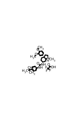 COc1ccc([C@@]23CC[C@@H](NC(=O)Nc4ccc(C(C)(C)C)cc4)C[C@@H]2N(C)CC3)cc1OC.O=C(O)C(F)(F)F